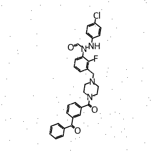 O=CN(Nc1ccc(Cl)cc1)c1cccc(CN2CCN(C(=O)c3cccc(C(=O)c4ccccc4)c3)CC2)c1F